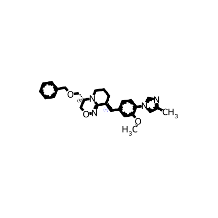 COc1cc(/C=C2\CCCN3C2=NOC[C@@H]3COCc2ccccc2)ccc1-n1cnc(C)c1